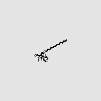 CCCCCCCCCCCCCCOC1=CC(CC=O)C(C(=O)O)(N2CCOCC2)O1